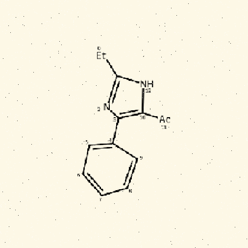 CCc1nc(-c2ccccc2)c(C(C)=O)[nH]1